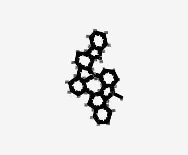 Cn1c2cccc3c2c2c(cc4ccccc4c21)c1cccc2c4ccc5c6ccccc6sc5c4n3c12